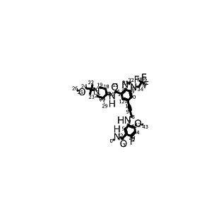 CNC(=O)c1cc(NCC#Cc2cc(C(=O)N[C@@H]3CCN(C(C)(C)COC)C[C@H]3C)c3ncn(CC(F)(F)F)c3c2)c(OC)cc1F